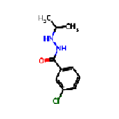 CC(C)NNC(=O)c1cccc(Cl)c1